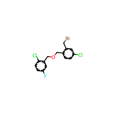 Fc1ccc(Cl)c(COCc2ccc(Cl)cc2CBr)c1